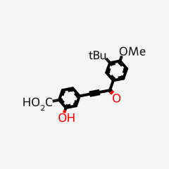 COc1ccc(C(=O)C#Cc2ccc(C(=O)O)c(O)c2)cc1C(C)(C)C